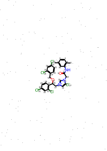 Cc1ccc(C)c(NC(=O)Cn2cc[n+](CC(OCc3ccc(Cl)cc3Cl)c3ccc(Cl)cc3Cl)c2)c1.[Cl-]